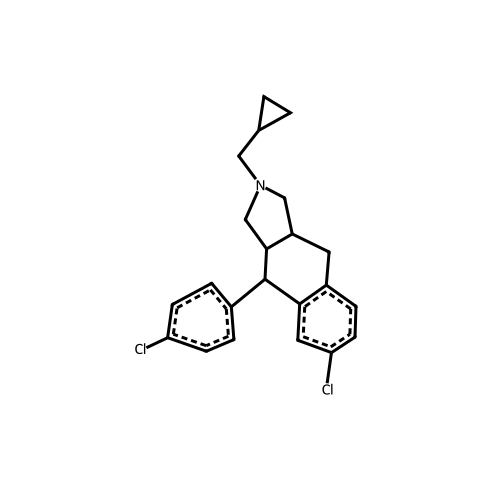 Clc1ccc(C2c3cc(Cl)ccc3CC3CN(CC4CC4)CC32)cc1